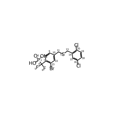 O=P(O)(O)C(F)(F)c1ccc(CSCc2cc(Cl)ccc2Cl)cc1Br